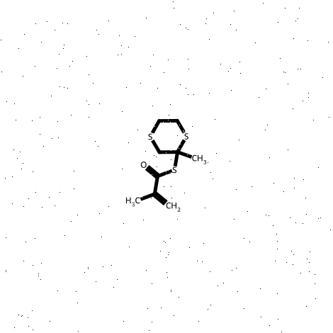 C=C(C)C(=O)SC1(C)CSCCS1